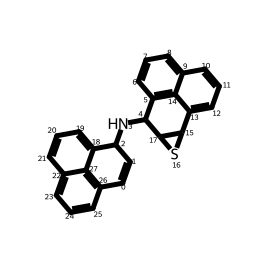 C1=CC(NC2c3cccc4cccc(c34)C3SC23)c2cccc3cccc1c23